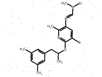 CCN(C)/C=N/c1cc(Br)c(OC(C)Cc2cc(C)cc(C)c2)nc1C